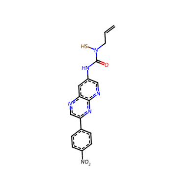 C=CCN(S)C(=O)Nc1cnc2nc(-c3ccc([N+](=O)[O-])cc3)cnc2c1